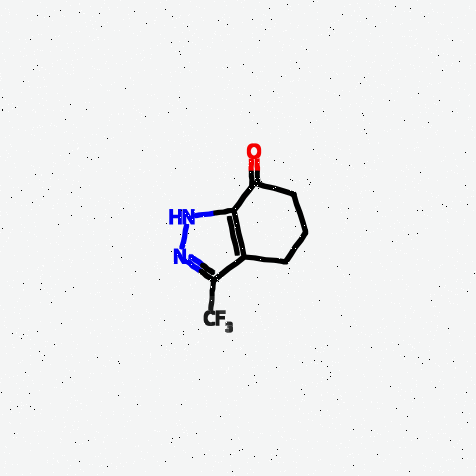 O=C1CCCc2c(C(F)(F)F)n[nH]c21